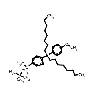 CCCCCCCC[B-](CCCCCCCC)(c1ccc(OC)cc1)c1ccc(OC)cc1.C[P+](C)(C)C